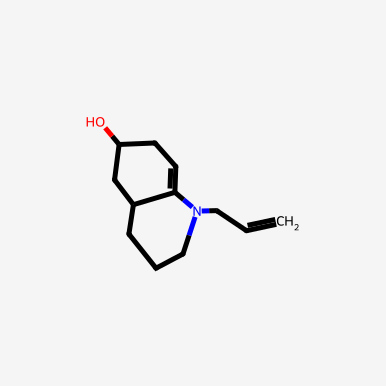 C=CCN1CCCC2CC(O)CC=C21